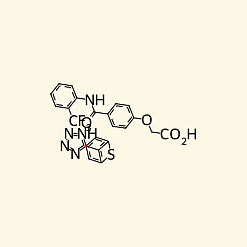 O=C(O)COc1ccc(C(=O)Nc2ccccc2C(F)(F)F)cc1.c1cc2c(-c3nnn[nH]3)c(c1)S2